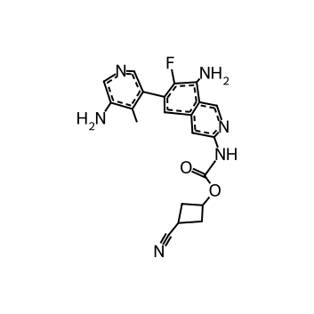 Cc1c(N)cncc1-c1cc2cc(NC(=O)OC3CC(C#N)C3)ncc2c(N)c1F